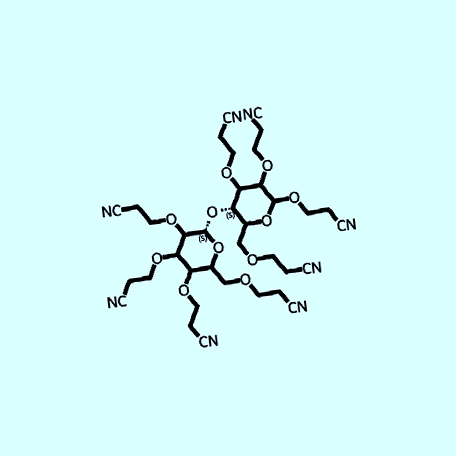 N#CCCOCC1O[C@@H](O[C@H]2C(COCCC#N)OC(OCCC#N)C(OCCC#N)C2OCCC#N)C(OCCC#N)C(OCCC#N)C1OCCC#N